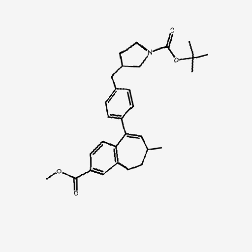 COC(=O)c1ccc2c(c1)CCC(C)C=C2c1ccc(CC2CCN(C(=O)OC(C)(C)C)C2)cc1